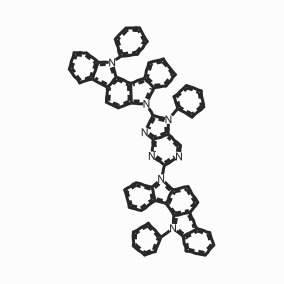 c1ccc(-n2c(-n3c4ccccc4c4c3ccc3c5ccccc5n(-c5ccccc5)c34)nc3nc(-n4c5ccccc5c5c4ccc4c6ccccc6n(-c6ccccc6)c45)ncc32)cc1